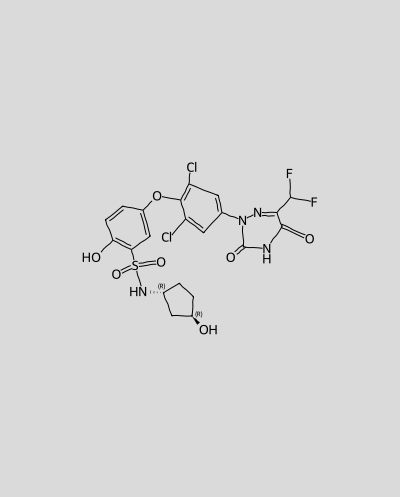 O=c1[nH]c(=O)n(-c2cc(Cl)c(Oc3ccc(O)c(S(=O)(=O)N[C@@H]4CC[C@@H](O)C4)c3)c(Cl)c2)nc1C(F)F